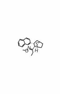 CCC(=NOC)[C@@H]1[C@@H]2CCC(C[C@H]1c1ccc3ccccc3c1)S2